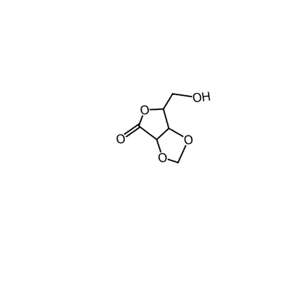 O=C1OC(CO)C2OCOC12